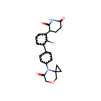 O=C1CCC(c2cccc(-c3ccc(N4C(=O)COCC45CC5)cc3)c2Cl)C(=O)N1